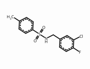 Cc1ccc(S(=O)(=O)NCc2ccc(F)c(Cl)c2)cc1